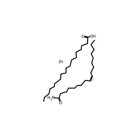 CCCCCCCC/C=C\CCCCCCCC(N)=O.CCCCCCCCCCCCCCCCCC(=O)O.[Zn]